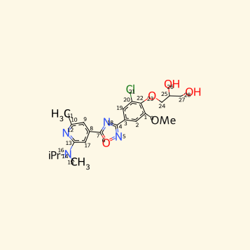 COc1cc(-c2noc(-c3cc(C)nc(N(C)C(C)C)c3)n2)cc(Cl)c1OCC(O)CO